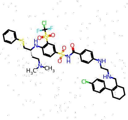 CN(C)CC[C@H](CSc1ccccc1)Nc1ccc(S(=O)(=O)NC(=O)c2ccc(NCCNCC3=C(c4ccc(Cl)cc4)CCCC3)cc2)cc1S(=O)(=O)C(F)(F)Cl